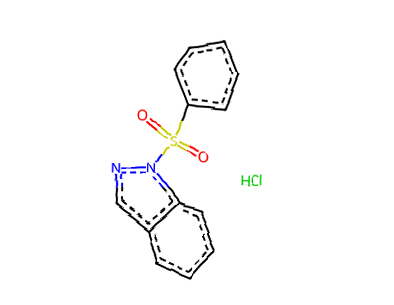 Cl.O=S(=O)(c1ccccc1)n1ncc2ccccc21